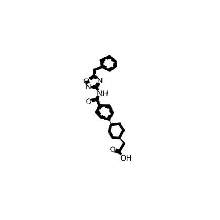 O=C(O)C[C@H]1CC[C@H](c2ccc(C(=O)Nc3noc(Cc4ccccc4)n3)cc2)CC1